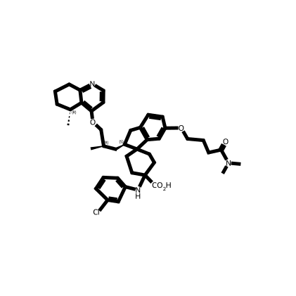 C[C@@H](COc1ccnc2c1[C@H](C)CCC2)C[C@H]1Cc2ccc(OCCCC(=O)N(C)C)cc2C12CCC(Nc1cccc(Cl)c1)(C(=O)O)CC2